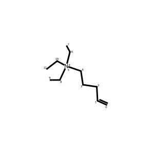 C=CCCC[N+](CC)(CC)CC